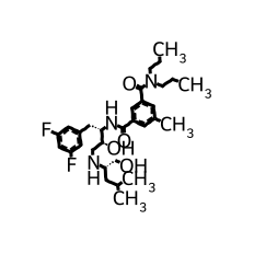 CCCN(CCC)C(=O)c1cc(C)cc(C(=O)N[C@@H](Cc2cc(F)cc(F)c2)[C@H](O)CN[C@H](CO)CC(C)C)c1